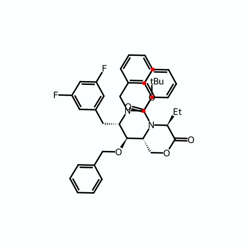 CC[C@H]1C(=O)OC[C@H]([C@@H](OCc2ccccc2)[C@H](Cc2cc(F)cc(F)c2)N(Cc2ccccc2)Cc2ccccc2)N1C(=O)OC(C)(C)C